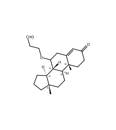 C[C@@]12CCC[C@H]1[C@@H]1C(OCCC=O)CC3=CC(=O)CC[C@]3(C)[C@H]1CC2